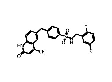 O=c1cc(C(F)(F)F)c2cc(Cc3ccc(S(=O)(=O)NCc4cc(Cl)ccc4F)cc3)ccc2[nH]1